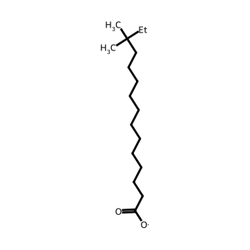 CCC(C)(C)CCCCCCCCCCCC([O])=O